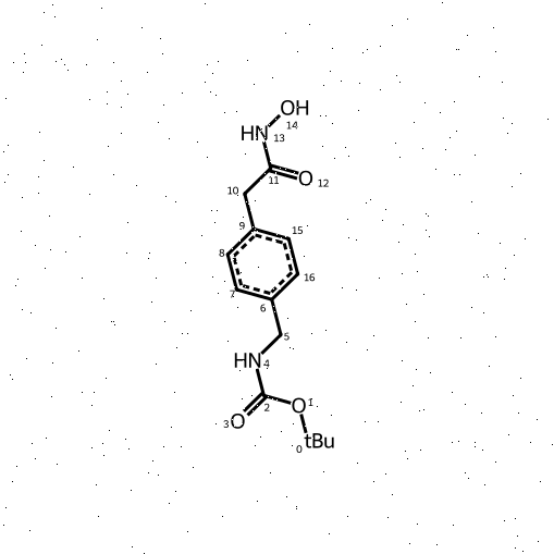 CC(C)(C)OC(=O)NCc1ccc(CC(=O)NO)cc1